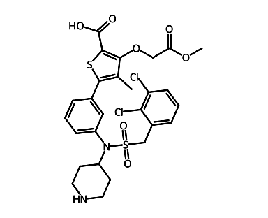 COC(=O)COc1c(C(=O)O)sc(-c2cccc(N(C3CCNCC3)S(=O)(=O)Cc3cccc(Cl)c3Cl)c2)c1C